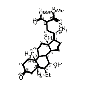 CC[C@@H]1[C@@H](O)C2C3CCC([C@H](C)CC(C(=O)OC)C(=O)OC)[C@@]3(C)CCC2[C@@]2(C)CCC(=O)C[C@@H]12